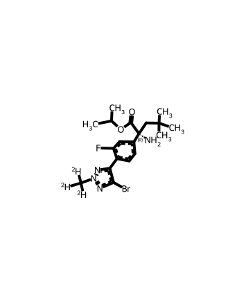 [2H]C([2H])([2H])n1nc(Br)c(-c2ccc([C@](N)(CC(C)(C)C)C(=O)OC(C)C)cc2F)n1